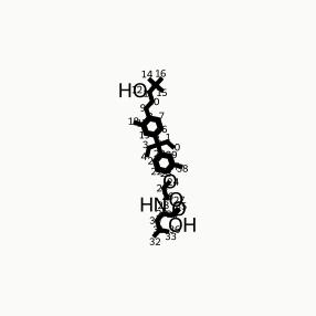 CCC(CC)(c1ccc(CC[C@H](O)C(C)(C)C)c(C)c1)c1ccc(OCC(=O)NC(CC(C)C)C(=O)O)c(C)c1